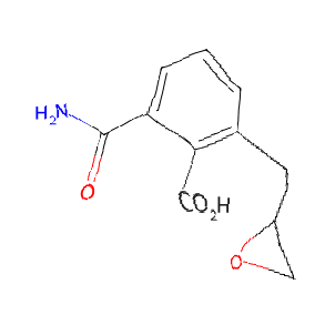 NC(=O)c1cccc(CC2CO2)c1C(=O)O